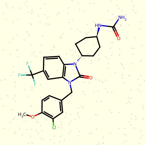 COc1ccc(Cn2c(=O)n([C@H]3CC[C@H](NC(N)=O)CC3)c3ccc(C(F)(F)F)cc32)cc1Cl